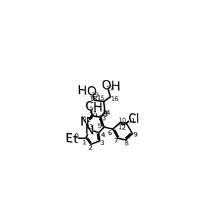 CCc1ccc2c(-c3cccc(Cl)c3)c(CC(CO)CO)c(C)nn12